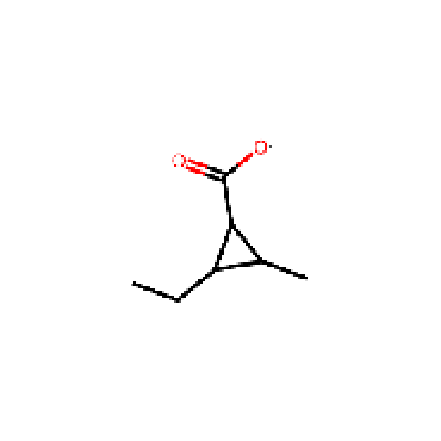 CCC1C(C)C1C([O])=O